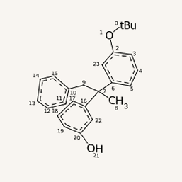 CC(C)(C)Oc1cccc(C(C)(Cc2ccccc2)c2cccc(O)c2)c1